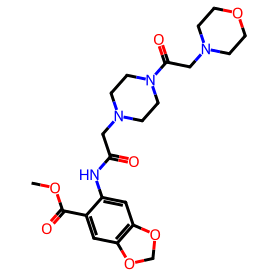 COC(=O)c1cc2c(cc1NC(=O)CN1CCN(C(=O)CN3CCOCC3)CC1)OCO2